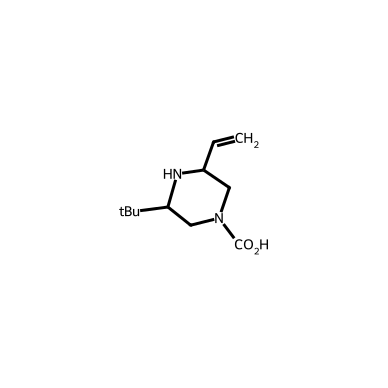 C=CC1CN(C(=O)O)CC(C(C)(C)C)N1